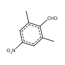 Cc1cc([N+](=O)[O-])cc(C)c1[C]=O